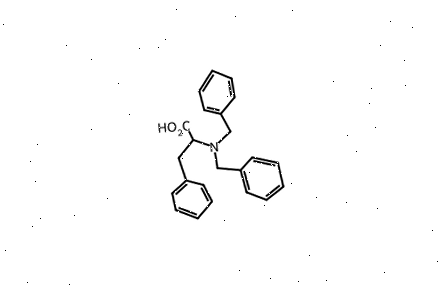 O=C(O)C(Cc1ccccc1)N(Cc1ccccc1)Cc1ccccc1